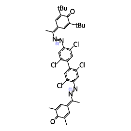 CC1=CC(=C(C)/N=N/c2cc(Cl)c(-c3cc(Cl)c(/N=N/C(C)=C4C=C(C(C)(C)C)C(=O)C(C(C)(C)C)=C4)cc3Cl)cc2Cl)C=C(C)C1=O